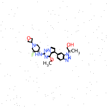 COc1nc(N[C@H]2CCN(C3COC3)C[C@H]2F)nn2ccc(-c3ccc4nnn([C@@H](C)CO)c4c3)c12